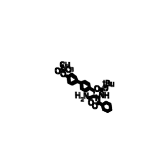 CC(C)(C)OC(=O)NN(C(=O)C1CCCCC1)[C@@H](Cc1ccc(-c2ccc(OS(C)(=O)=O)cc2)cc1)C(N)=O